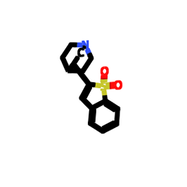 O=S1(=O)C(C2CN3CCC2CC3)=Cc2ccccc21